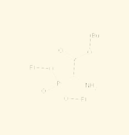 CCOP(=O)(OCC)C(N)C(=O)OC(C)(C)C